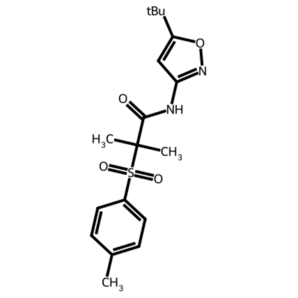 Cc1ccc(S(=O)(=O)C(C)(C)C(=O)Nc2cc(C(C)(C)C)on2)cc1